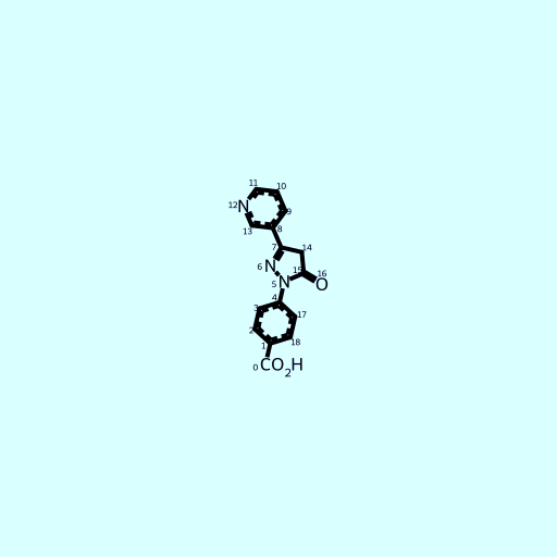 O=C(O)c1ccc(N2N=C(c3cccnc3)CC2=O)cc1